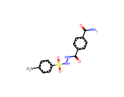 NC(=O)c1ccc(C(=O)NNS(=O)(=O)c2ccc([N+](=O)[O-])cc2)cc1